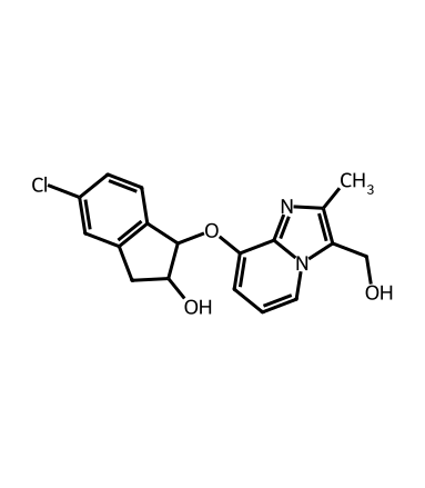 Cc1nc2c(OC3c4ccc(Cl)cc4CC3O)cccn2c1CO